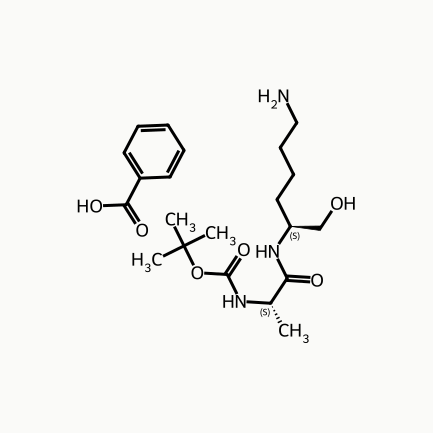 C[C@H](NC(=O)OC(C)(C)C)C(=O)N[C@H](CO)CCCCN.O=C(O)c1ccccc1